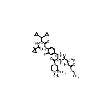 CCOC(=O)N[C@@H](CF)C(=O)N[C@@H](C(=O)N1CCN(C)[C@H](C)C1)[C@@H](C)c1ccc(NC(=O)[C@@H](NC(=O)C2(F)CC2)C(C2CC2)C2CC2)c(F)c1